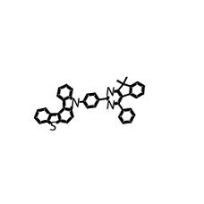 CC1(C)c2ccccc2-c2c(-c3ccccc3)nc(-c3ccc(-n4c5ccccc5c5c6c(ccc54)sc4ccccc46)cc3)nc21